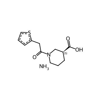 N.O=C(O)[C@H]1CCCN(C(=O)Cc2cccs2)C1